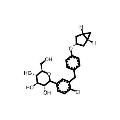 OC[C@H]1OC(c2ccc(Cl)c(Cc3ccc(O[C@@H]4C[C@@H]5C[C@@H]5C4)cc3)c2)[C@H](O)[C@@H](O)[C@@H]1O